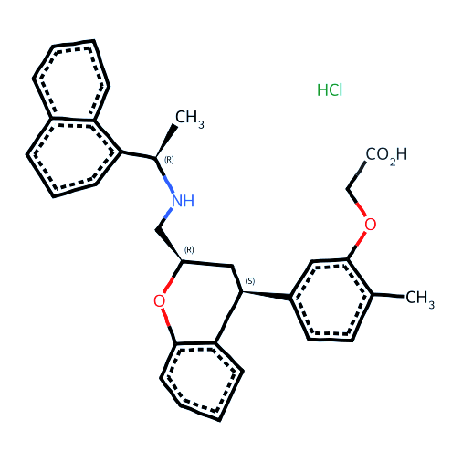 Cc1ccc([C@@H]2C[C@H](CN[C@H](C)c3cccc4ccccc34)Oc3ccccc32)cc1OCC(=O)O.Cl